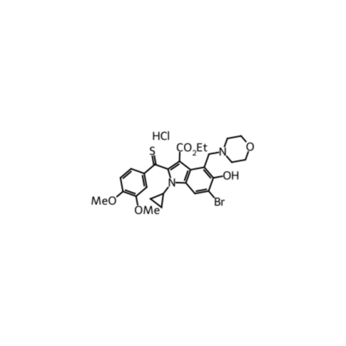 CCOC(=O)c1c(C(=S)c2ccc(OC)c(OC)c2)n(C2CC2)c2cc(Br)c(O)c(CN3CCOCC3)c12.Cl